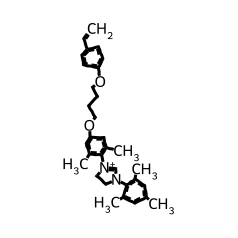 C=Cc1ccc(OCCCCOc2cc(C)c([N+]3=CN(c4c(C)cc(C)cc4C)CC3)c(C)c2)cc1